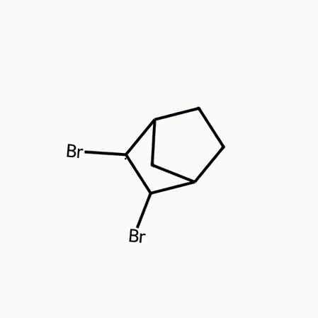 Br[C]1C2CCC(C2)C1Br